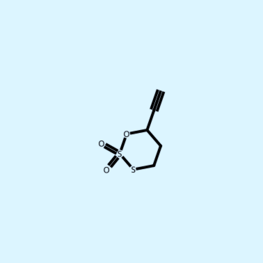 C#CC1CCSS(=O)(=O)O1